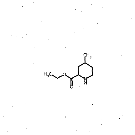 CCOC(=O)C1CC(C)CCN1